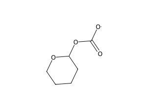 [O]C(=O)OC1CCCCO1